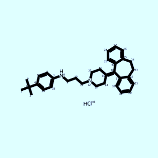 CC(C)(C)c1ccc(NCCCN2CCC(=C3c4ccccc4CCc4ccccc43)CC2)cc1.Cl